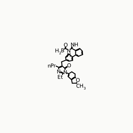 BC(=O)NC(=N)c1ccccc1-c1ccc(Cc2c(CCC)nc(CC)n(C3=CC4=C(CC3)OC(C)C4)c2=O)cc1